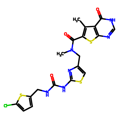 Cc1c(C(=O)N(C)Cc2csc(NC(=O)NCc3ccc(Cl)s3)n2)sc2nc[nH]c(=O)c12